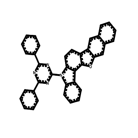 c1ccc(-c2nc(-c3ccccc3)nc(-n3c4ccccc4c4c5oc6cc7ccccc7cc6c5ccc43)n2)cc1